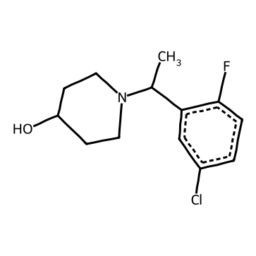 CC(c1cc(Cl)ccc1F)N1CCC(O)CC1